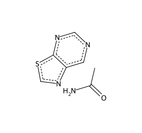 CC(N)=O.c1ncc2ncsc2n1